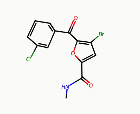 CNC(=O)c1cc(Br)c(C(=O)c2cccc(Cl)c2)o1